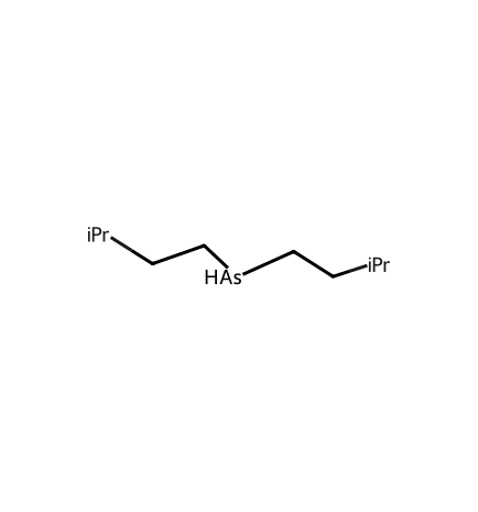 CC(C)CC[AsH]CCC(C)C